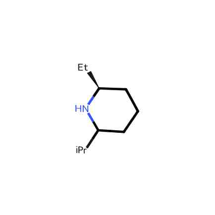 CC[C@H]1CCCC(C(C)C)N1